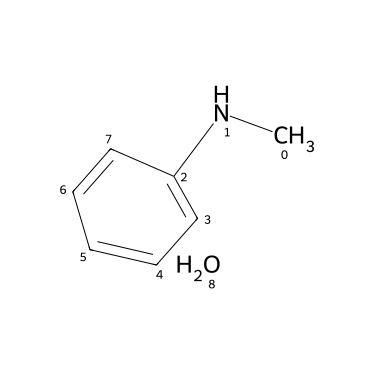 CNc1ccccc1.O